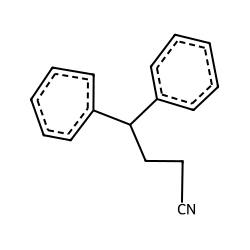 N#CCCC(c1ccccc1)c1ccccc1